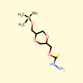 CC(C)(C)[Si](C)(C)OCC1COC(COC(=S)NN)CO1